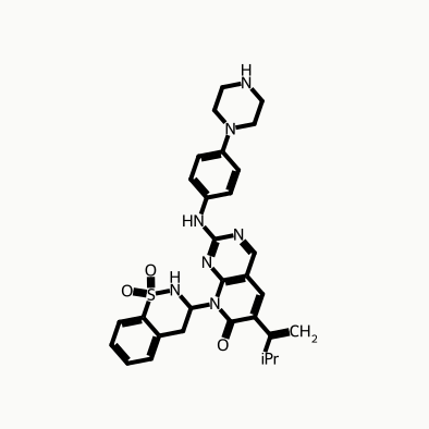 C=C(c1cc2cnc(Nc3ccc(N4CCNCC4)cc3)nc2n(C2Cc3ccccc3S(=O)(=O)N2)c1=O)C(C)C